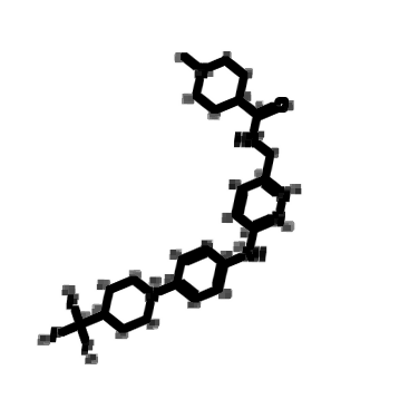 CN1CCC(C(=O)NCc2ccc(Nc3ccc(N4CCC(C(F)(F)F)CC4)cc3)nn2)CC1